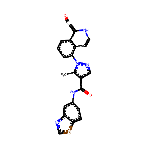 O=C=C1NC=Cc2c1cccc2-n1ncc(C(=O)Nc2ccc3scnc3c2)c1C(F)(F)F